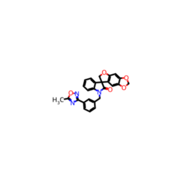 Cc1nc(-c2cccc(CN3C(=O)C4(COc5cc6c(cc54)OCO6)c4ccccc43)c2)no1